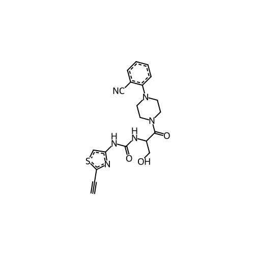 C#Cc1nc(NC(=O)NC(CO)C(=O)N2CCN(c3ccccc3C#N)CC2)cs1